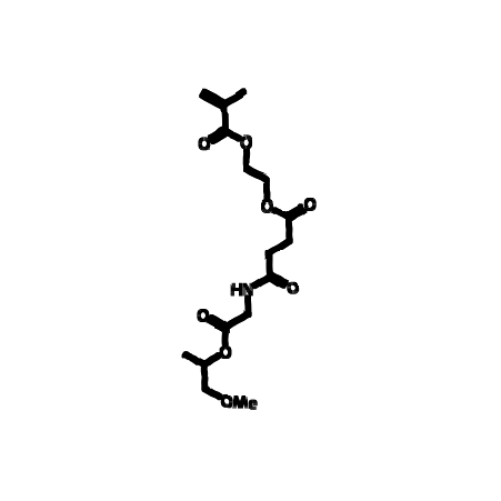 C=C(C)C(=O)OCCOC(=O)CCC(=O)NCC(=O)OC(C)COC